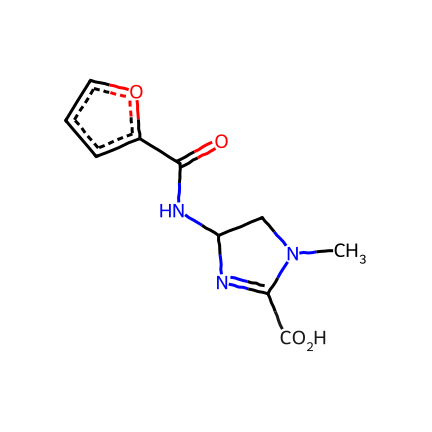 CN1CC(NC(=O)c2ccco2)N=C1C(=O)O